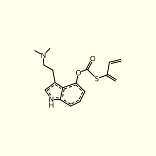 C=CC(=C)SC(=O)Oc1cccc2[nH]cc(CCN(C)C)c12